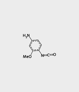 COc1cc(N)ccc1N=C=O